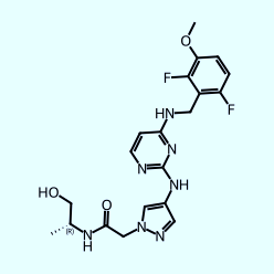 COc1ccc(F)c(CNc2ccnc(Nc3cnn(CC(=O)N[C@H](C)CO)c3)n2)c1F